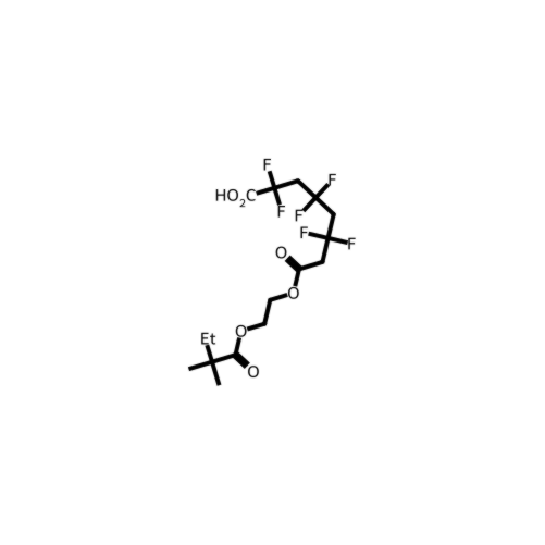 CCC(C)(C)C(=O)OCCOC(=O)CC(F)(F)CC(F)(F)CC(F)(F)C(=O)O